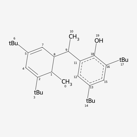 CC1C(C(C)(C)C)=CC(C(C)(C)C)=CC1C(C)c1cc(C(C)(C)C)cc(C(C)(C)C)c1O